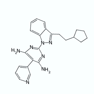 Nc1nc(-n2nc(CCC3CCCC3)c3ccccc32)nc(N)c1-c1cccnc1